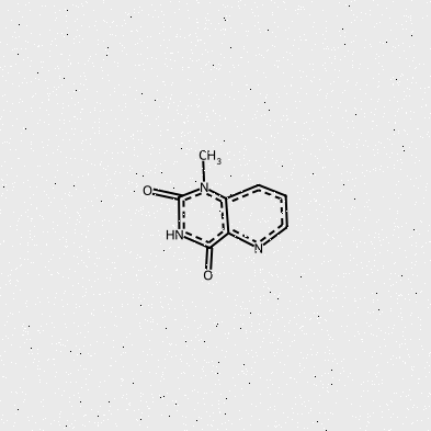 Cn1c(=O)[nH]c(=O)c2ncccc21